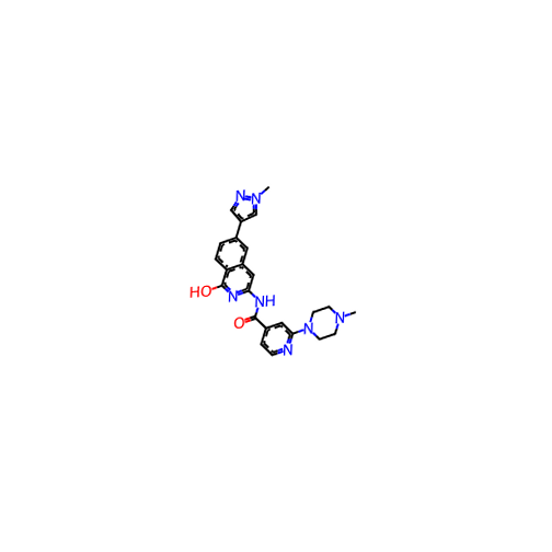 CN1CCN(c2cc(C(=O)Nc3cc4cc(-c5cnn(C)c5)ccc4c(O)n3)ccn2)CC1